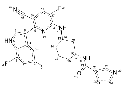 Cc1cc(F)c2[nH]cc(-c3nc(N[C@@H]4CCC[C@@H](NC(=O)c5cncs5)C4)c(F)cc3C#N)c2c1